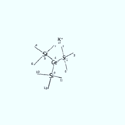 C[Si](C)(C)[Ge-]([Si](C)(C)C)[Si](C)(C)C.[K+]